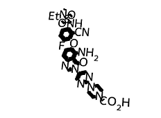 CCN(C)S(=O)(=O)Nc1ccc(F)c(Oc2ccc3ncn(-c4cnc(N5CCN(C(=O)O)CC5)nc4)c(=O)c3c2N)c1C#N